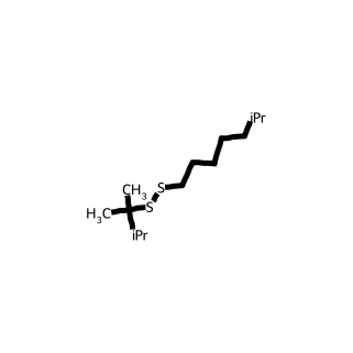 CC(C)CCCCCSSC(C)(C)C(C)C